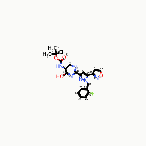 CC(C)(C)OC(=O)NC1CN=C(c2cc(-c3ccon3)n(Cc3ccccc3F)n2)N=C1O